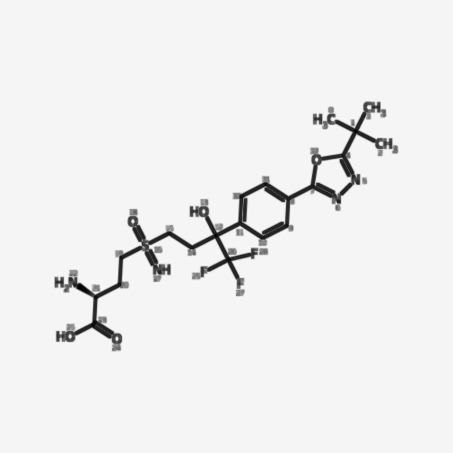 CC(C)(C)c1nnc(-c2ccc(C(O)(CCS(=N)(=O)CC[C@H](N)C(=O)O)C(F)(F)F)cc2)o1